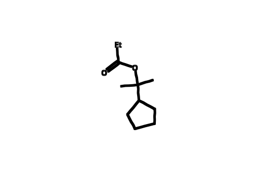 CCC(=O)OC(C)(C)C1CCCC1